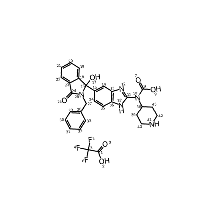 O=C(O)C(F)(F)F.O=C(O)N(c1nc2cc(C3(O)c4ccccc4C(=O)N3Cc3ccccc3)ccc2[nH]1)C1CCNCC1